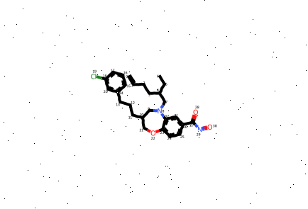 C=CCCC(CC)CN1CC(CCCc2cccc(Cl)c2)COc2ccc(C(=O)N=O)cc21